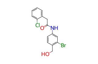 O=C(Cc1ccccc1Cl)Nc1ccc(CO)c(Br)c1